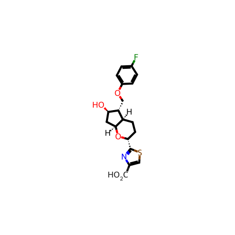 O=C(O)c1csc([C@H]2CC[C@@H]3[C@@H](COc4ccc(F)cc4)[C@H](O)C[C@@H]3O2)n1